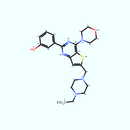 CCOC(=O)CN1CCN(Cc2cc3nc(-c4cccc(O)c4)nc(N4CCOCC4)c3s2)CC1